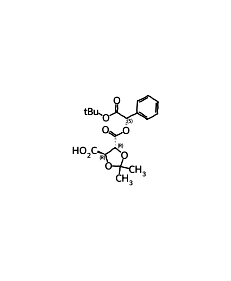 CC(C)(C)OC(=O)[C@@H](OC(=O)[C@@H]1OC(C)(C)O[C@H]1C(=O)O)c1ccccc1